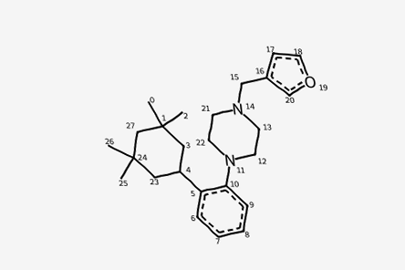 CC1(C)CC(c2ccccc2N2CCN(Cc3ccoc3)CC2)CC(C)(C)C1